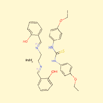 CCOc1ccc(NC(=S)Nc2ccc(OCC)cc2)cc1.Oc1ccccc1/C=N/CC/N=C/c1ccccc1O.[InH3]